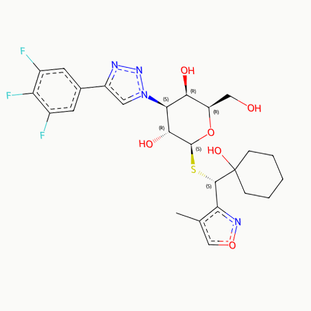 Cc1conc1[C@H](S[C@@H]1O[C@H](CO)[C@H](O)[C@H](n2cc(-c3cc(F)c(F)c(F)c3)nn2)[C@H]1O)C1(O)CCCCC1